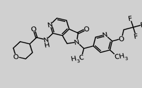 Cc1cc(C(C)N2Cc3c(ccnc3NC(=O)C3CCOCC3)C2=O)cnc1OCC(F)(F)F